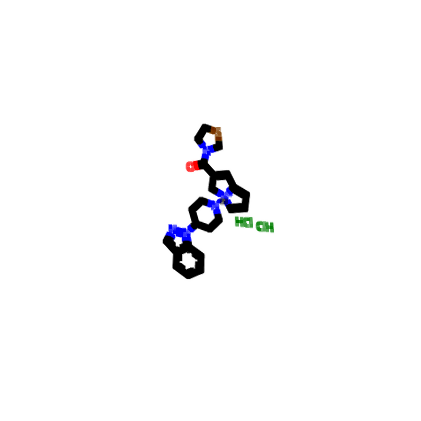 Cl.Cl.O=C(C1=CC2=CC=C[N@@+]2(N2CCC(n3ncc4ccccc43)CC2)C1)N1CCSC1